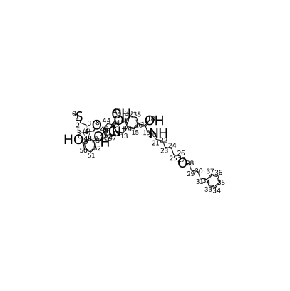 CSCC[C@](CO)(C(=O)O[C@H]1C[N+]2(Cc3cc(C(O)CNCCCCCCOCCCCc4ccccc4)ccc3OO)CCC1CC2)c1ccccc1